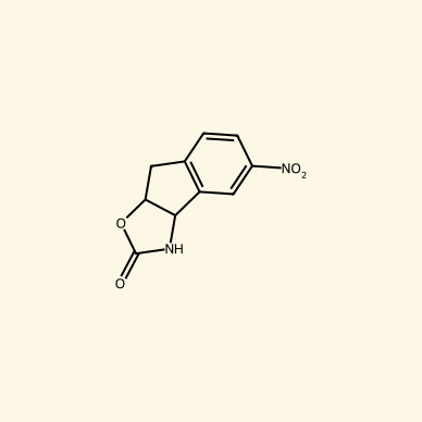 O=C1NC2c3cc([N+](=O)[O-])ccc3CC2O1